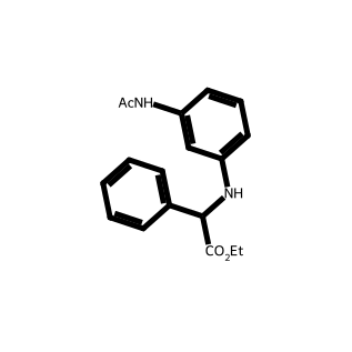 CCOC(=O)C(Nc1cccc(NC(C)=O)c1)c1ccccc1